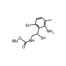 CCc1ccc(C)c(N)c1C(S)CNC(=O)OC(C)(C)C